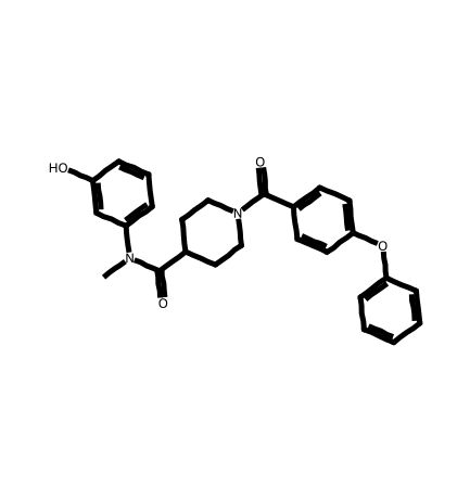 CN(C(=O)C1CCN(C(=O)c2ccc(Oc3ccccc3)cc2)CC1)c1cccc(O)c1